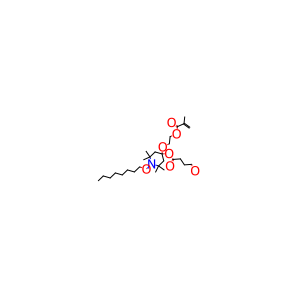 C=C(C)C(=O)OCCOC1(OC(=O)CCC=O)CC(C)(C)N(OCCCCCCCC)C(C)(C)C1